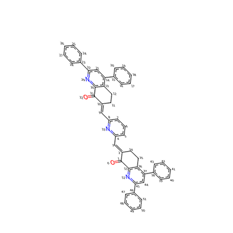 O=C1/C(=C/c2cccc(/C=C3\CCc4c(-c5ccccc5)cc(-c5ccccc5)nc4C3=O)n2)CCc2c(-c3ccccc3)cc(-c3ccccc3)nc21